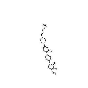 CCCCCC1CCC(c2ccc(-c3ccc(-c4ccc(C)c(F)c4F)cc3)c(F)c2)CC1